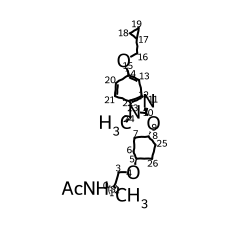 CC(=O)N[C@@H](C)CO[C@H]1CC[C@H](Oc2nc3cc(OCC4CC4)ccc3n2C)CC1